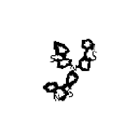 c1ccc2c(c1)ncc1sc3ccc(N(c4ccc5sc6ccccc6c5c4)c4ccc5sc6ccccc6c5c4)cc3c12